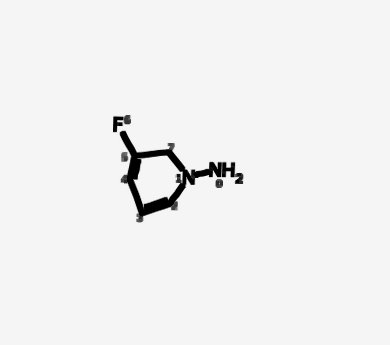 NN1C=CC=C(F)C1